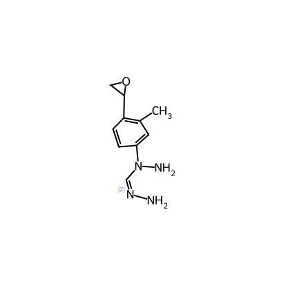 Cc1cc(N(N)/C=N\N)ccc1C1CO1